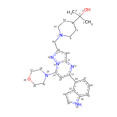 CC(C)(O)C1CCN(Cc2cc3nc(-c4cccc5[nH]ccc45)cc(N4CCOCC4)n3n2)CC1